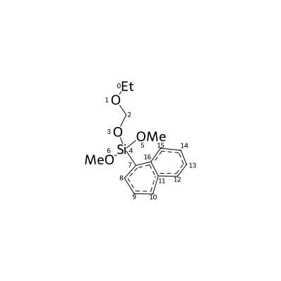 CCOCO[Si](OC)(OC)c1cccc2ccccc12